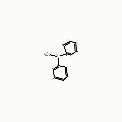 CO[S+](c1ccccc1)c1ccccc1